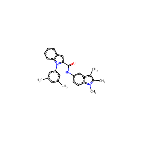 Cc1cc(C)cc(-n2c(C(=O)Nc3ccc4c(c3)c(C)c(C)n4C)cc3ccccc32)c1